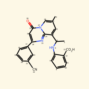 Cc1cc(C(C)Nc2ccccc2C(=O)O)c2nc(-c3cccc(C#N)c3)cc(=O)n2c1